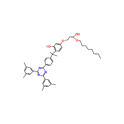 CCCCCCCCOC(O)CCOc1ccc(C(C)(C)c2ccc(-c3nc(-c4cc(C)cc(C)c4)nc(-c4cc(C)cc(C)c4)n3)cc2)c(O)c1